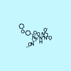 CCON=C1C[C@@H](C(=O)Nc2nc(OC)cc(OC)n2)N(C(=O)c2ccc(Oc3ccccc3)cc2)C1